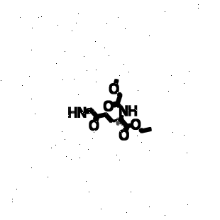 CCOC(=O)[C@H](CCC(=O)C=N)NC(=O)COC